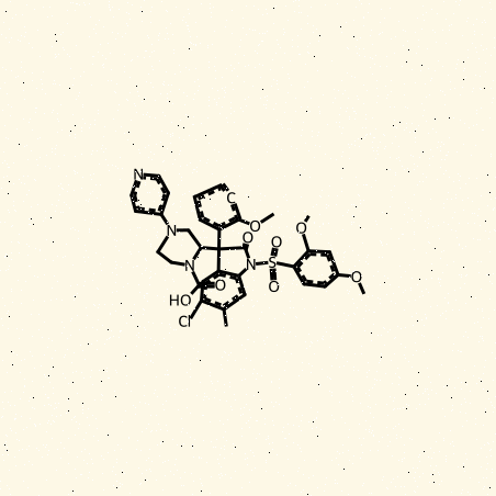 COc1ccc(S(=O)(=O)N2C(=O)C(c3ccccc3OC)(C3CN(c4ccncc4)CCN3C(=O)O)c3cc(Cl)c(C)cc32)c(OC)c1